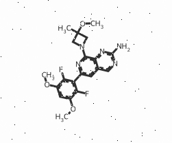 COc1cc(OC)c(F)c(-c2cc3cnc(N)nc3c(N3CC(C)(OC)C3)n2)c1F